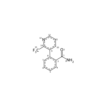 NC(=O)c1ccccc1-c1cccnc1C(F)(F)F